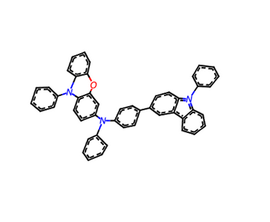 c1ccc(N(c2ccc(-c3ccc4c(c3)c3ccccc3n4-c3ccccc3)cc2)c2ccc3c(c2)Oc2ccccc2N3c2ccccc2)cc1